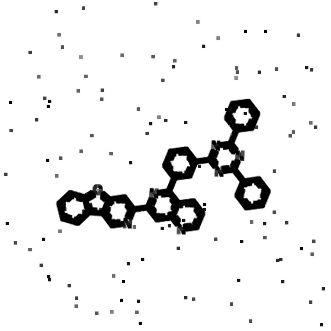 c1ccc(-c2nc(-c3ccccc3)nc(-c3cccc(-c4nc(-c5cc6oc7ccccc7c6cn5)cc5ncccc45)c3)n2)cc1